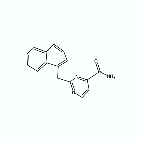 NC(=O)c1ccnc(Cc2cccc3ccccc23)n1